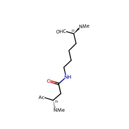 CN[C@H](C=O)CCCCNC(=O)C[C@H](NC)C(C)=O